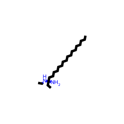 CCCCCCCCCCCCCCCCCC(N)(CC)NCC